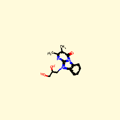 Cc1nc2n(CC(O)CO)c3ccccc3n2c(=O)c1C